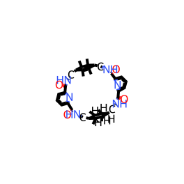 Cc1c(C)c2c(C)c(C)c1CNC(=O)c1cccc(n1)C(=O)NCC1[C@@H](C)[C@@H](C)[C@@H](CNC(=O)c3cccc(n3)C(=O)NC2)[C@@H](C)[C@H]1C